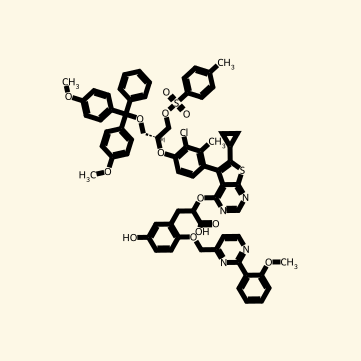 COc1ccc(C(OC[C@H](COS(=O)(=O)c2ccc(C)cc2)Oc2ccc(-c3c(C4CC4)sc4ncnc(OC(Cc5cc(O)ccc5OCc5ccnc(-c6ccccc6OC)n5)C(=O)O)c34)c(C)c2Cl)(c2ccccc2)c2ccc(OC)cc2)cc1